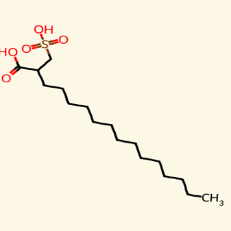 CCCCCCCCCCCCCCC(CS(=O)(=O)O)C(=O)O